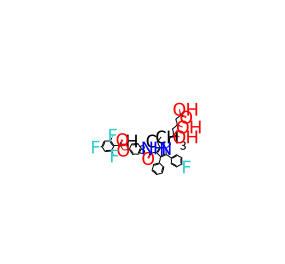 CC(C)c1c(C(=O)Nc2ccc(OC(=O)c3c(F)cc(F)cc3F)cc2)c(-c2ccccc2)c(-c2ccc(F)cc2)n1CCC(O)CC(O)CC(=O)O